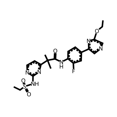 CCOc1cncc(-c2ccc(NC(=O)C(C)(C)c3ccnc(NS(=O)(=O)CC)n3)c(F)c2)n1